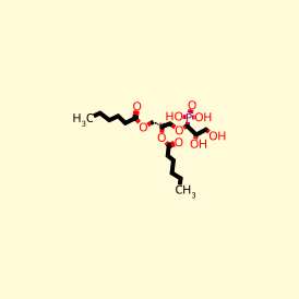 CCCCCC(=O)OC[C@H](COC(C(O)CO)P(=O)(O)O)OC(=O)CCCCC